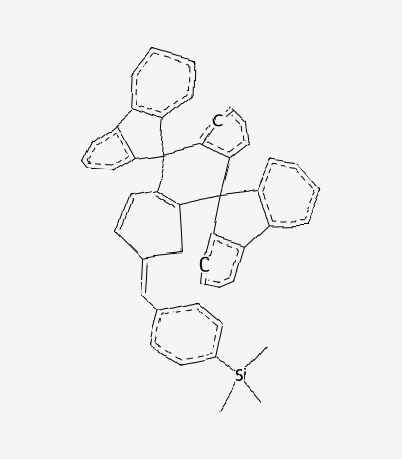 C[Si](C)(C)c1ccc(/C=C2/C=CC3=C(C2)C2(c4ccccc4-c4ccccc42)c2ccccc2C32c3ccccc3-c3ccccc32)cc1